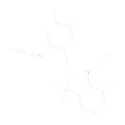 Cc1cc(C)c(N=C=O)cc1C.Cc1cccc(C(C)(C)C)c1N=C=O